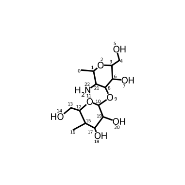 CC1OC(CO)C(O)C(OC2OC(CO)C(C)C(O)C2O)C1N